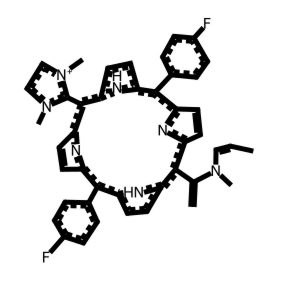 C=C(c1c2nc(c(-c3ccc(F)cc3)c3ccc([nH]3)c(-c3n(C)cc[n+]3C)c3nc(c(-c4ccc(F)cc4)c4ccc1[nH]4)C=C3)C=C2)N(C)/C=C\C